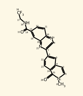 Cn1ccc2cc(-c3cnc4ccc(C(=O)NCC(F)(F)F)cc4n3)ccc2c1=O